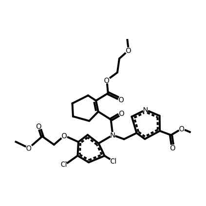 COCCOC(=O)C1=C(C(=O)N(Cc2cncc(C(=O)OC)c2)c2cc(OCC(=O)OC)c(Cl)cc2Cl)CCCC1